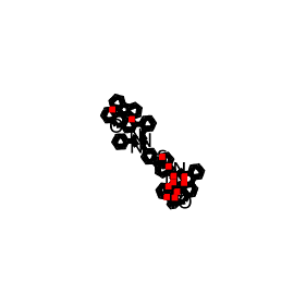 c1ccc(-c2nc(-c3ccc4c(c3)sc3cc(-c5cccc6c5-c5ccccc5C65c6ccccc6Oc6ccc(-c7ccccc7-c7nc(-c8ccccc8)nc(-c8ccccn8)n7)cc65)ccc34)nc(-c3ccccc3-c3ccc4c(c3)C3(c5ccccc5O4)c4ccccc4-c4ccccc43)n2)cc1